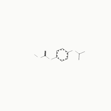 [CH2]OC(=O)Nc1ccc(OC(C)C)cc1